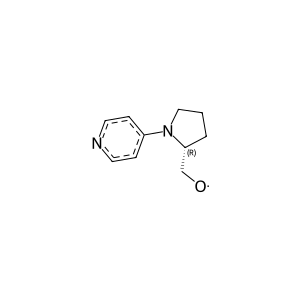 [O]C[C@H]1CCCN1c1ccncc1